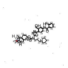 C/C=C1\[C@@H]2C=C(C)CC1(N)C1=C(C2)NC(OC(=O)N(CCCN2CCCCC2)c2nnc(-c3ccc(NC(=O)c4ccccc4F)cc3CO)o2)C=C1